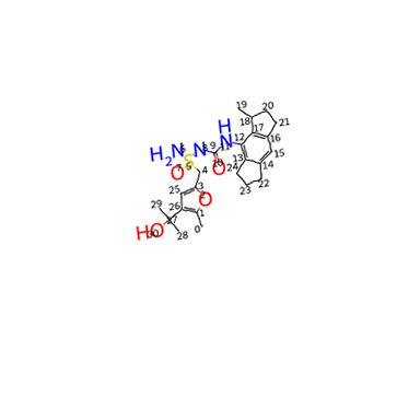 Cc1oc(CS(N)(=O)=NC(=O)Nc2c3c(cc4c2C(C)CC4)CCC3)cc1C(C)(C)O